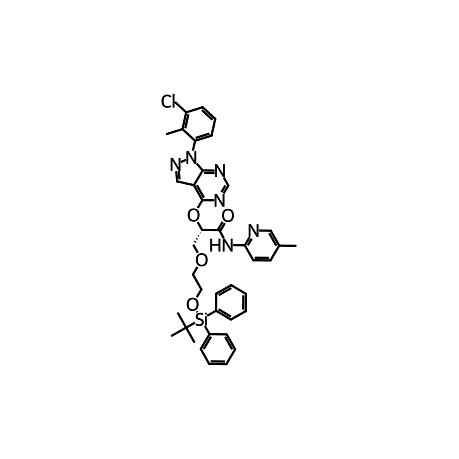 Cc1ccc(NC(=O)[C@H](COCCO[Si](c2ccccc2)(c2ccccc2)C(C)(C)C)Oc2ncnc3c2cnn3-c2cccc(Cl)c2C)nc1